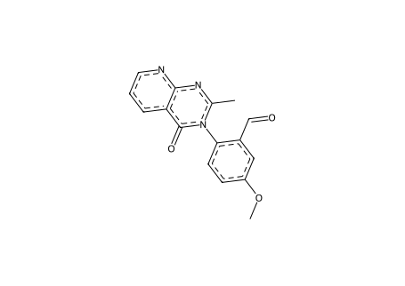 COc1ccc(-n2c(C)nc3ncccc3c2=O)c(C=O)c1